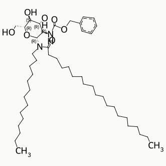 CCCCCCCCCCCCCCCCCCCC(=O)N(CCCCCCCCCCCCCC)[C@@H]1O[C@H](CO)[C@@H](O)[C@H](O)[C@H]1NC(=O)OCc1ccccc1